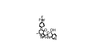 C[C@H]1CN(c2ccc(C(F)(F)F)cc2)C(=O)c2c(C(=O)Nc3cnccc3CO)cnn21